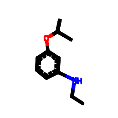 CCNc1cccc(OC(C)C)c1